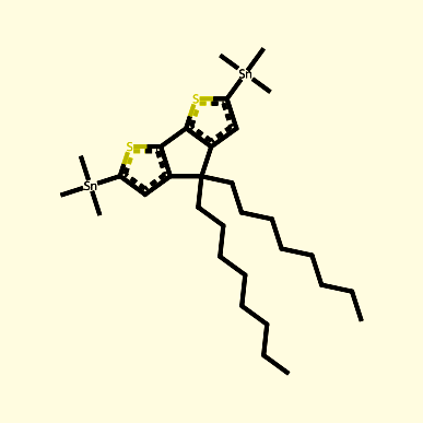 CCCCCCCCC1(CCCCCCCC)c2c[c]([Sn]([CH3])([CH3])[CH3])sc2-c2s[c]([Sn]([CH3])([CH3])[CH3])cc21